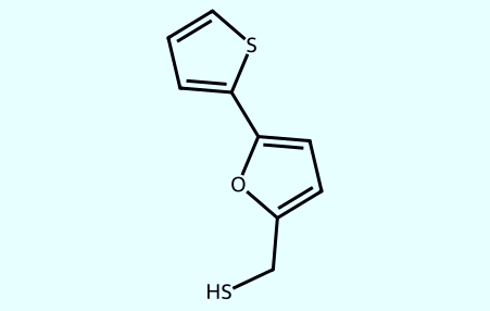 SCc1ccc(-c2cccs2)o1